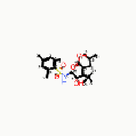 Cc1cc(C)c(S(=O)(=O)NC[C@@H](O)C(=C(CC(C)C)C(=O)O)C(C)(C)C)c(C)c1